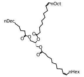 CCCCCC/C=C\CCCCCCCC(=O)OC[C@H](COC(=O)CCCCCCCCCCCCCC)OC(=O)CCCCCCC/C=C\CCCCCCCC